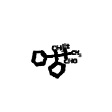 CCC(C)(C=O)C(C)(c1ccccc1)c1ccccc1